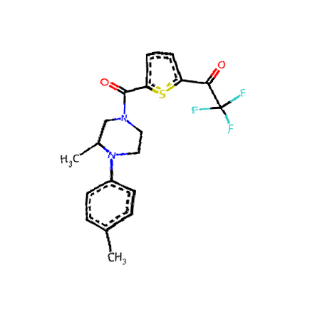 Cc1ccc(N2CCN(C(=O)c3ccc(C(=O)C(F)(F)F)s3)CC2C)cc1